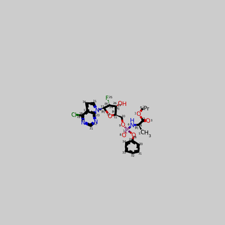 CC(C)OC(=O)[C@@H](C)NP(=O)(OC[C@H]1O[C@@H](n2ccc3c(Cl)ncnc32)[C@H](F)[C@@H]1O)Oc1ccccc1